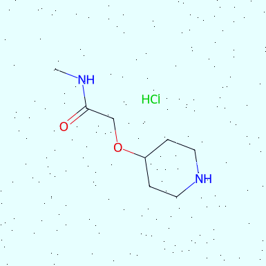 CNC(=O)COC1CCNCC1.Cl